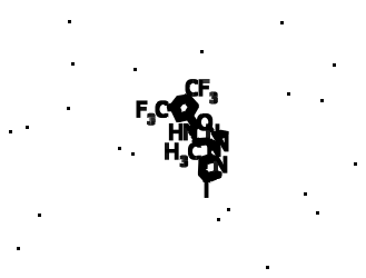 C[C@H](NC(=O)c1cc(C(F)(F)F)cc(C(F)(F)F)c1)c1ncnn1-c1ccc(I)cn1